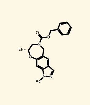 CC[C@@H]1CN(C(=O)OCc2ccccc2)Cc2cc3cnn(C(C)=O)c3cc2O1